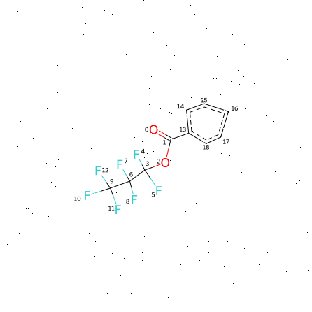 O=C(OC(F)(F)C(F)(F)C(F)(F)F)c1ccccc1